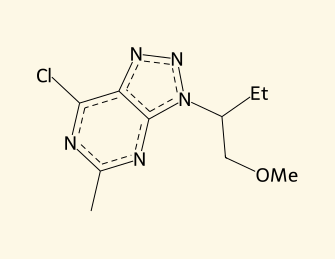 CCC(COC)n1nnc2c(Cl)nc(C)nc21